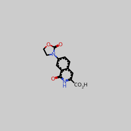 O=C(O)c1cc2ccc(N3CCOC3=O)cc2c(=O)[nH]1